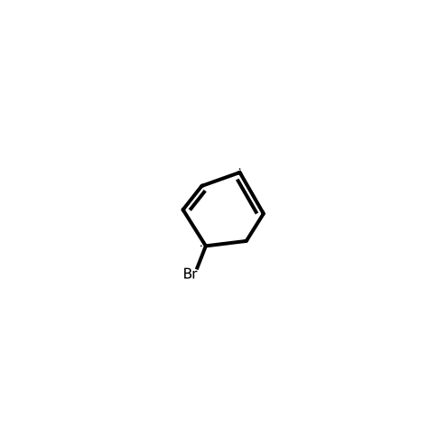 Br[C]1C=C[C]=CC1